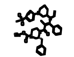 C=CN(/C(=C(\C)C(=O)N1CCN(C(=O)OC(C)(C)C)C[C@H]1Cc1ccccc1)c1ccccc1)C1CCCN(c2ccc(S(C)(=O)=O)cc2)C1